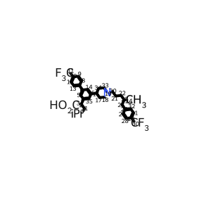 CC(C)CC(C(=O)O)c1cc(-c2ccc(C(F)(F)F)cc2)cc(C2CCN(CCCC(C)Cc3ccc(C(F)(F)F)cc3)CC2)c1